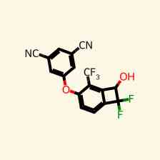 N#Cc1cc(C#N)cc(OC2=C=C=C3C(=C2C(F)(F)F)C(O)C3(F)F)c1